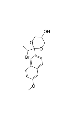 COc1ccc2cc(C3(C(C)Br)OCC(O)CO3)ccc2c1